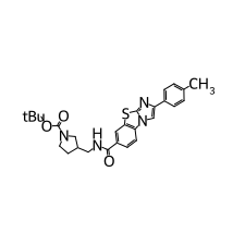 Cc1ccc(-c2cn3c(n2)sc2cc(C(=O)NCC4CCN(C(=O)OC(C)(C)C)C4)ccc23)cc1